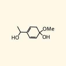 COC1(O)C=CC(C(C)O)=CC1